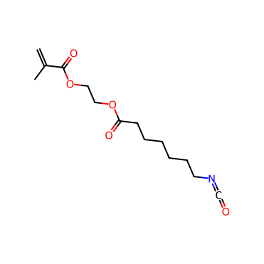 C=C(C)C(=O)OCCOC(=O)CCCCCCN=C=O